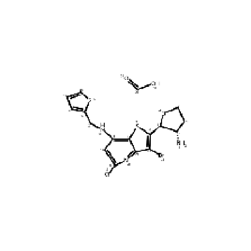 N[C@H]1CCO[C@@H]1c1sc2c(NCc3cccs3)cc(Cl)nc2c1Br.O=CO